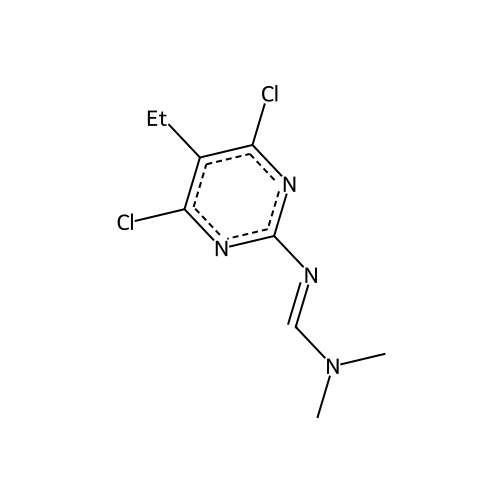 CCc1c(Cl)nc(N=CN(C)C)nc1Cl